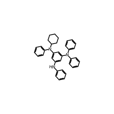 c1ccc(Nc2cc(N(c3ccccc3)c3ccccc3)cc(N(c3ccccc3)C3CCCCC3)c2)cc1